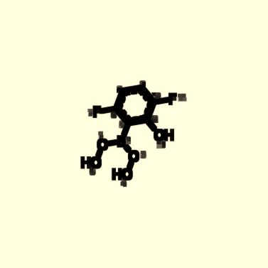 OOB(OO)c1c(F)ccc(F)c1O